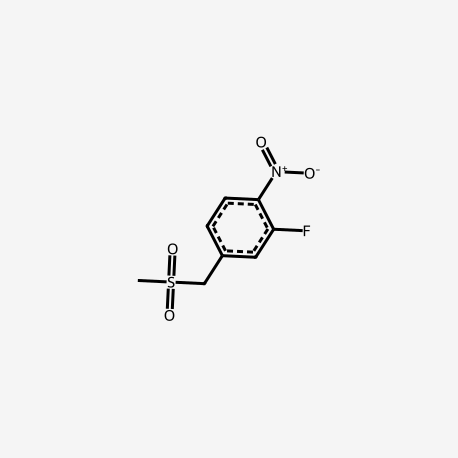 CS(=O)(=O)Cc1ccc([N+](=O)[O-])c(F)c1